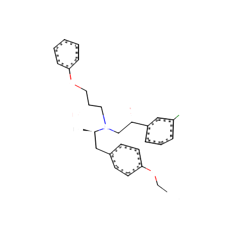 C[C@H](Cc1ccc(OCC(=O)O)cc1)N(C[C@H](O)COc1ccccc1)C[C@H](O)c1cccc(Cl)c1